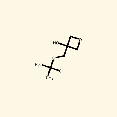 CC(C)(C)OCC1(O)COC1